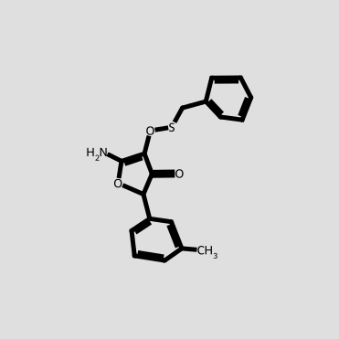 Cc1cccc(C2OC(N)=C(OSCc3ccccc3)C2=O)c1